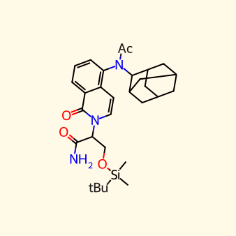 CC(=O)N(c1cccc2c(=O)n(C(CO[Si](C)(C)C(C)(C)C)C(N)=O)ccc12)C1C2CC3CC(C2)CC1C3